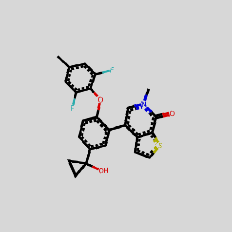 Cc1cc(F)c(Oc2ccc(C3(O)CC3)cc2-c2cn(C)c(=O)c3sccc23)c(F)c1